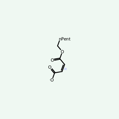 [CH2]CCCCCOC(=O)/C=C\C([O])=O